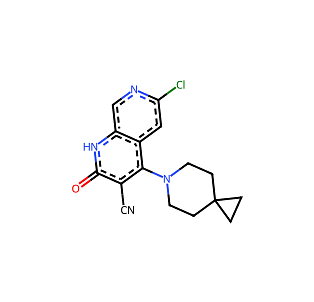 N#Cc1c(N2CCC3(CC2)CC3)c2cc(Cl)ncc2[nH]c1=O